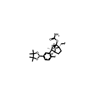 CC1(C)OB(c2ccc(F)c([C@@]3(C)N=C(OC(N)=O)[C@@]4(CF)CC[C@@H]3S4(=O)=O)c2)OC1(C)C